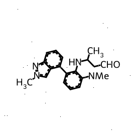 CNc1cccc(-c2cccc3nn(C)cc23)c1NC(C)CC=O